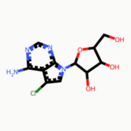 Nc1ncnc2c1c(Cl)cn2C1OC(CO)C(O)C1O